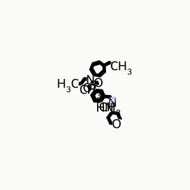 CCC1C=CC=C(N(CC(C)C)S(=O)(=O)c2ccc(C)c(/C=N\NC3CCOCC3)c2)C=C1